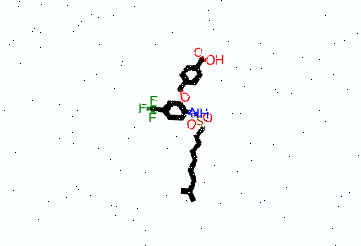 CC(C)CCCCCCCS(=O)(=O)Nc1ccc(C(F)(F)F)cc1OCc1ccc(C(=O)O)cc1